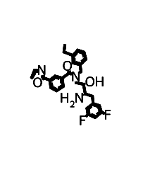 CCc1cccc(CN(C[C@@H](O)[C@@H](N)Cc2cc(F)cc(F)c2)C(=O)c2cccc(-c3ncco3)c2)c1